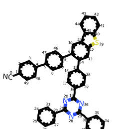 N#Cc1ccc(-c2ccc(-c3cc4c(cc3-c3ccc(-c5nc(-c6ccccc6)nc(-c6ccccc6)n5)cc3)sc3ccccc34)cc2)cc1